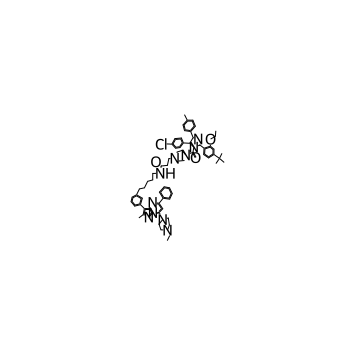 CCOc1cc(C(C)(C)C)ccc1C1=NC(c2ccc(C)cc2)C(c2ccc(Cl)cc2)N1C(=O)N1CCN(CCC(=O)NCCCCCc2cccc(-c3c(C)nn4c(N5CCN(CC)CC5)cc(-c5ccccc5)nc34)c2)CC1